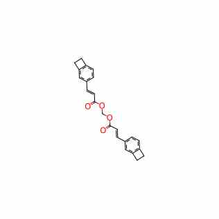 O=C(C=Cc1ccc2c(c1)CC2)OCOC(=O)C=Cc1ccc2c(c1)CC2